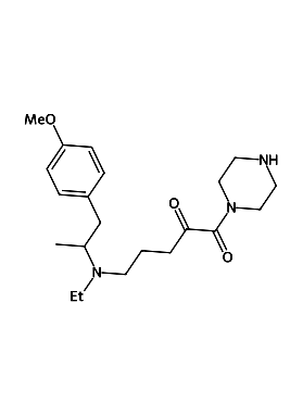 CCN(CCCC(=O)C(=O)N1CCNCC1)C(C)Cc1ccc(OC)cc1